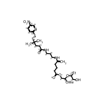 C=C(CCCC(=O)OCC(OC)OC(CC)CO)NCCCNC(=O)CCC(C)(C)SSc1ccc([N+](=O)[O-])cn1